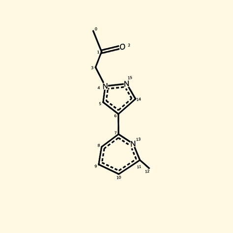 CC(=O)Cn1cc(-c2cccc(C)n2)cn1